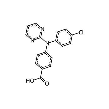 O=C(O)c1ccc(N(c2ccc(Cl)cc2)c2ncccn2)cc1